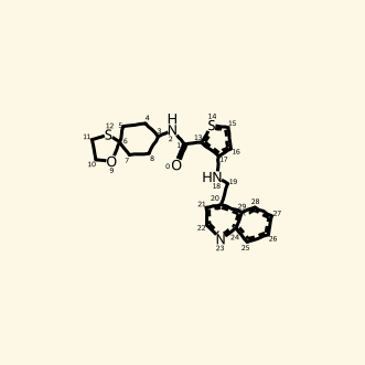 O=C(NC1CCC2(CC1)OCCS2)c1sccc1NCc1ccnc2ccccc12